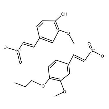 CCCOc1ccc(C=C[N+](=O)[O-])cc1OC.COc1cc(C=C[N+](=O)[O-])ccc1O